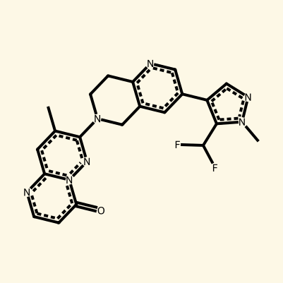 Cc1cc2nccc(=O)n2nc1N1CCc2ncc(-c3cnn(C)c3C(F)F)cc2C1